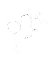 C1CCCCC1.CC(C)=C(CC(=O)O)C(=O)O.CCNCC